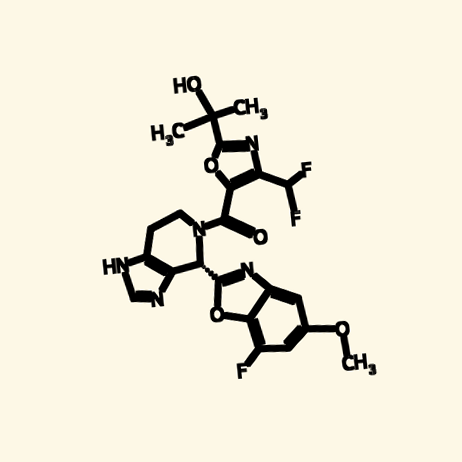 COc1cc(F)c2oc([C@@H]3c4nc[nH]c4CCN3C(=O)c3oc(C(C)(C)O)nc3C(F)F)nc2c1